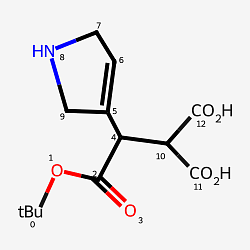 CC(C)(C)OC(=O)C(C1=CCNC1)C(C(=O)O)C(=O)O